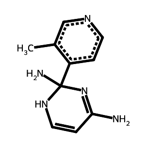 Cc1cnccc1C1(N)N=C(N)C=CN1